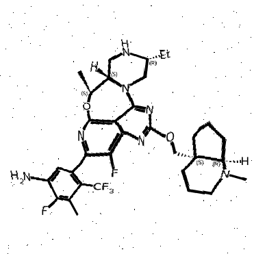 CC[C@@H]1CN2c3nc(OC[C@]45CCC[C@H]4N(C)CCC5)nc4c(F)c(-c5cc(N)c(F)c(C)c5C(F)(F)F)nc(c34)O[C@@H](C)[C@@H]2CN1